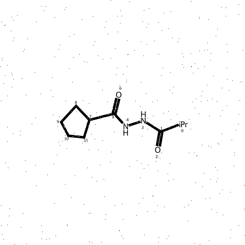 CC(C)C(=O)NNC(=O)C1CCCC1